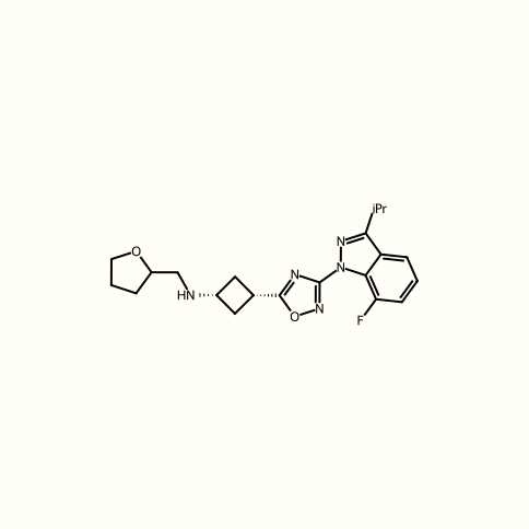 CC(C)c1nn(-c2noc([C@H]3C[C@@H](NCC4CCCO4)C3)n2)c2c(F)cccc12